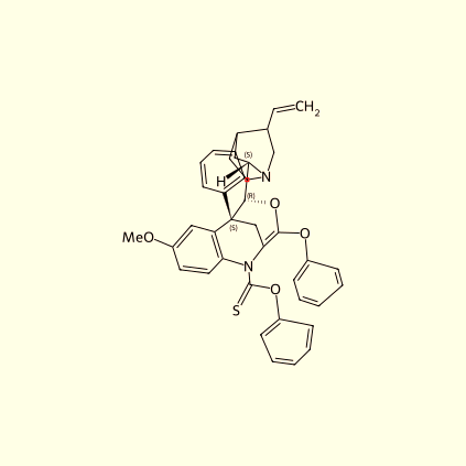 C=CC1CN2CCC1C[C@H]2[C@@H]1OC(Oc2ccccc2)=C2C[C@]1(c1ccccc1)c1cc(OC)ccc1N2C(=S)Oc1ccccc1